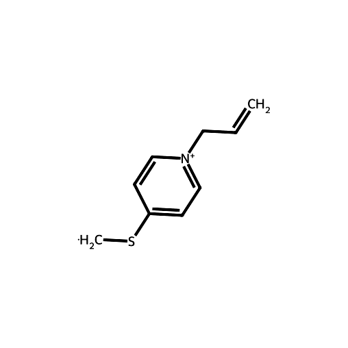 [CH2]Sc1cc[n+](CC=C)cc1